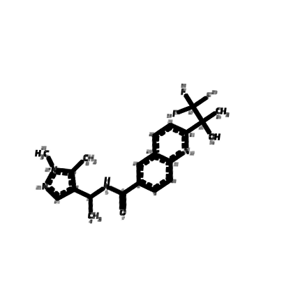 Cc1c(C(C)NC(=O)c2ccc3nc(C(C)(O)C(F)(F)F)ccc3c2)cnn1C